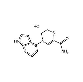 Cl.NC(=O)C1=CN(c2ccnc3[nH]ccc23)CCS1